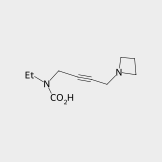 CCN(CC#CCN1CCC1)C(=O)O